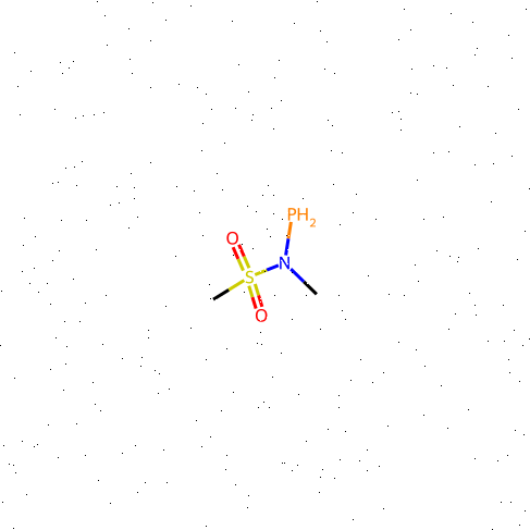 CN(P)S(C)(=O)=O